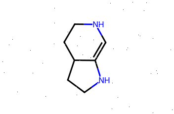 C1=C2NCCC2CCN1